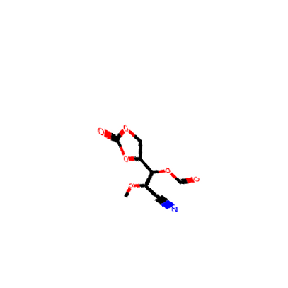 COC(C#N)C(OC=O)C1COC(=O)O1